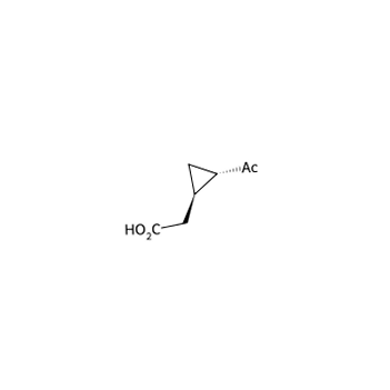 CC(=O)[C@H]1C[C@@H]1CC(=O)O